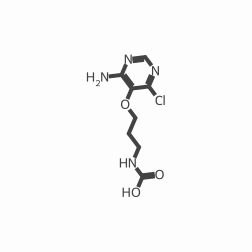 Nc1ncnc(Cl)c1OCCCNC(=O)O